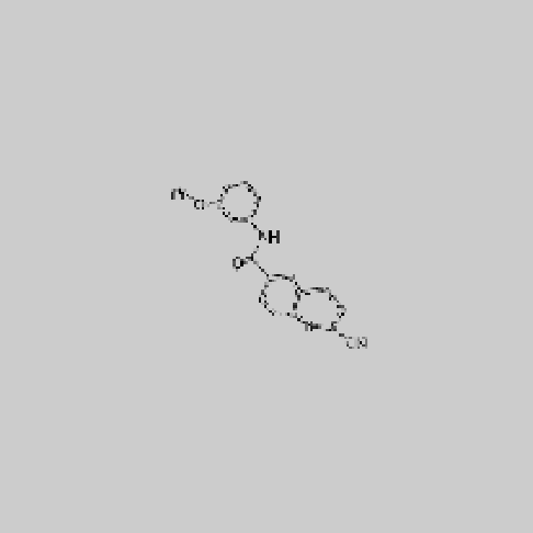 CC(C)Oc1cccc(NC(=O)c2ccc3nc(C#N)ccc3c2)c1